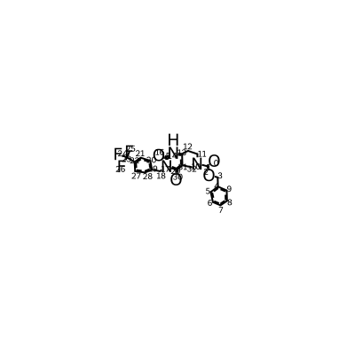 O=C(OCc1ccccc1)N1CCc2[nH]c(=O)n(Cc3ccc(C(F)(F)F)cc3)c(=O)c2C1